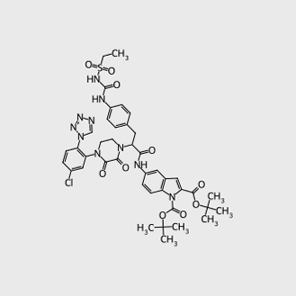 CCS(=O)(=O)NC(=O)Nc1ccc(CC(C(=O)Nc2ccc3c(c2)cc(C(=O)OC(C)(C)C)n3C(=O)OC(C)(C)C)N2CCN(c3cc(Cl)ccc3-n3cnnn3)C(=O)C2=O)cc1